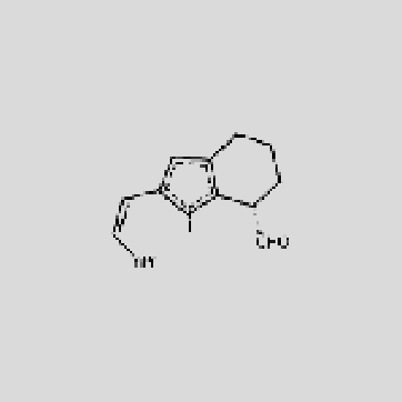 CCC/C=C\c1cc2c([nH]1)[C@@H](C=O)CCC2